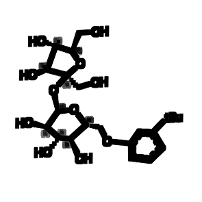 CC(C)(C)c1cccc(OC[C@H]2O[C@H](O[C@]3(CO)O[C@H](CO)[C@@H](O)[C@@H]3O)[C@H](O)[C@@H](O)[C@@H]2O)c1